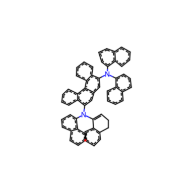 C1=C(N(c2cccc3ccccc23)c2cc3cc(N(c4cccc5ccccc45)c4cccc5ccccc45)c4ccccc4c3c3ccccc23)c2ccccc2CC1